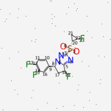 O=S(=O)(c1nc2n(n1)[C@H](c1ccc(F)c(F)c1)C[C@@H]2F)[C@@H]1C[C@H]1F